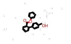 O=C(Oc1ccccc1)c1ccccc1-c1ccc(CO)cc1